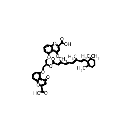 CC1=C(/C=C/C(C)=C/C=C/C(C)=C/C(=O)OC(COc2cccc3oc(C(=O)O)cc(=O)c23)COc2cccc3oc(C(=O)O)cc(=O)c23)C(C)(C)CCC1